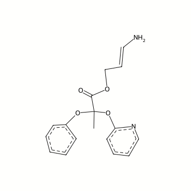 CC(Oc1ccccc1)(Oc1ccccn1)C(=O)OCC=CN